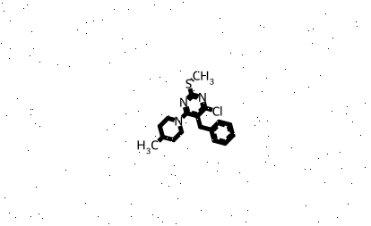 CSc1nc(Cl)c(Cc2ccccc2)c(N2CCC(C)CC2)n1